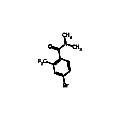 CN(C)C(=O)c1ccc(Br)cc1C(F)(F)F